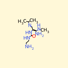 CN/C(N)=C(\C=N\C(C)C)NC(=O)NCCN